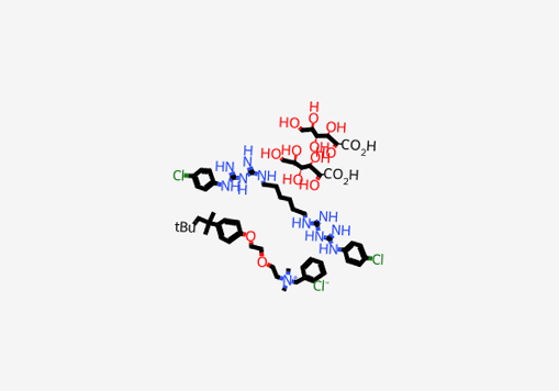 CC(C)(C)CC(C)(C)c1ccc(OCCOCC[N+](C)(C)Cc2ccccc2)cc1.N=C(NCCCCCCNC(=N)NC(=N)Nc1ccc(Cl)cc1)NC(=N)Nc1ccc(Cl)cc1.O=C(O)[C@H](O)[C@@H](O)[C@H](O)[C@H](O)CO.O=C(O)[C@H](O)[C@@H](O)[C@H](O)[C@H](O)CO.[Cl-]